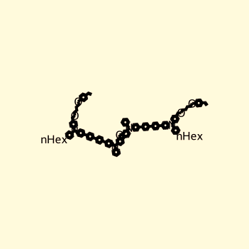 C=Cc1ccc(OCCCCOCc2ccc(N(c3ccc(CCCCCC)cc3)c3ccc(-c4ccc(-c5ccc(-c6ccc(N(c7ccccc7)c7ccc8c(c7)oc7cc(N(c9ccccc9)c9ccc(-c%10ccc(-c%11ccc(-c%12ccc(N(c%13ccc(CCCCCC)cc%13)c%13ccc(COCCCCOc%14ccc(C=C)cc%14)cc%13)cc%12)cc%11)cc%10)cc9)ccc78)cc6)cc5)cc4)cc3)cc2)cc1